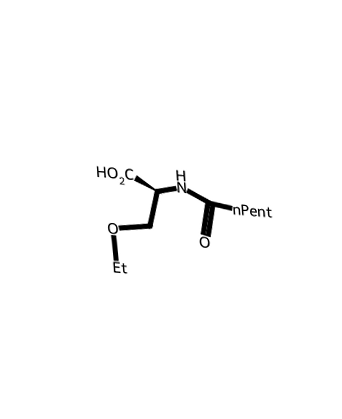 CCCCCC(=O)N[C@@H](COCC)C(=O)O